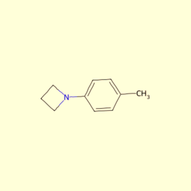 Cc1ccc(N2CCC2)cc1